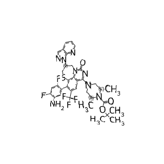 C[C@@H]1CN(c2nc(=O)n3c4c(c(-c5cc(N)c(F)cc5F)c(C(F)(F)F)cc24)SC[C@@H](n2ncc4cccnc42)C3)C[C@H](C)N1C(=O)OC(C)(C)C